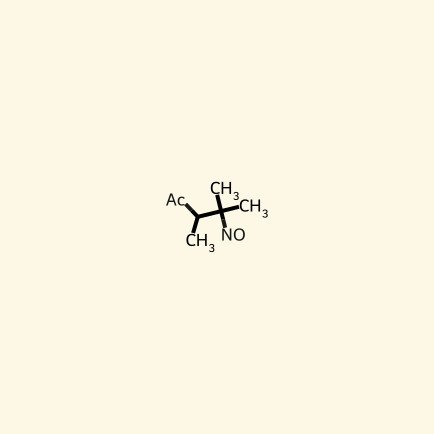 CC(=O)C(C)C(C)(C)N=O